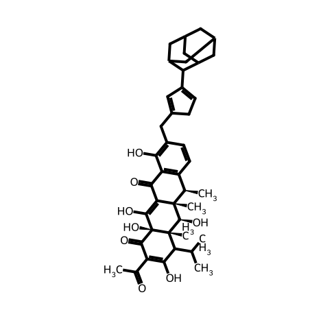 CC(=O)C1=C(O)C(C(C)C)[C@@]2(C)[C@H](O)[C@]3(C)C(=C(O)[C@@]2(O)C1=O)C(=O)c1c(ccc(CC2=CC(C4C5CC6CC(C5)CC4C6)=CC2)c1O)[C@H]3C